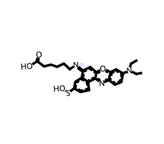 CCN(CC)c1ccc2nc3c4ccc(SO)cc4/c(=N\CCCCCC(=O)O)cc-3oc2c1